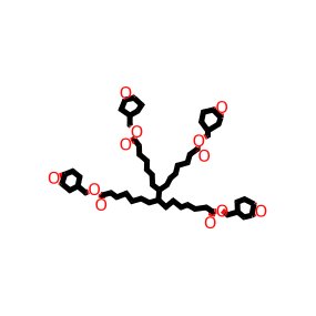 O=C(CCCCCCC(CCCCCCC(=O)OCC1CCC2OC2C1)C(CCCCCCC(=O)OCC1CCC2OC2C1)CCCCCCC(=O)OCC1CCC2OC2C1)OCC1CCC2OC2C1